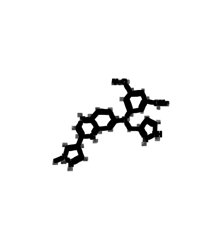 COc1cc(OC)cc(N(Cc2cc[nH]n2)c2ccc3ncc(-c4cnn(C)c4)nc3c2)c1